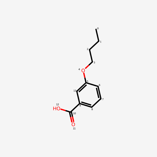 CCCCOc1c[c]cc(C(=O)O)c1